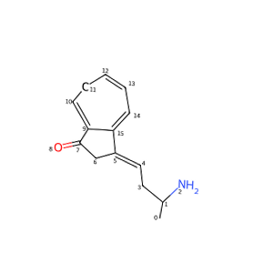 CC(N)C/C=C1\CC(=O)C2=CCC=CC=C21